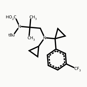 CC(C)(C)N(C(=O)O)C(C)(C)CN(C1CC1)C1(c2cccc(C(F)(F)F)c2)CC1